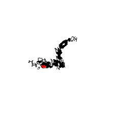 CCC1(C(=O)NC(C)C)CCN(c2ccc(-c3nc(-c4cnn([C@H]5CC[C@H](CCO)CC5)c4)cn4ncc(C#N)c34)cn2)CC1